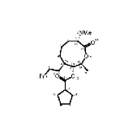 CN[C@H]1CCC[C@H](CCC(C)C)[C@@H](OC(=O)C2CCCC2)[C@H](C)OC1=O